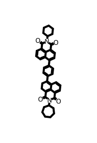 O=C1C2=c3c(cccc3=C(c3ccc(-c4ccc5c6c(cccc46)C(=O)N(C4CCCCC4)C5=O)cc3)CC2)C(=O)N1C1CCCCCC1